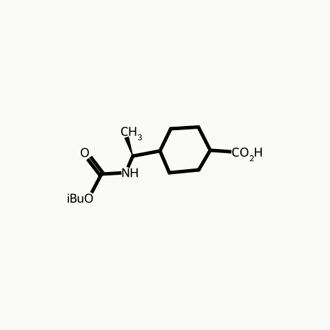 CC(C)COC(=O)N[C@@H](C)C1CCC(C(=O)O)CC1